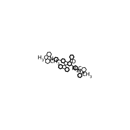 CC12CCCCC1(C)N(c1ccc(-c3cc4c(c5c3oc3ccccc35)-c3ccc(-c5ccc(N6C7CCCCC7C7(C)CCCCC67C)cc5)cc3C43c4ccccc4-c4ccccc43)cc1)c1ccccc12